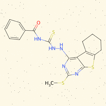 CSc1nc(NNC(=S)NC(=O)c2ccccc2)c2c3c(sc2n1)CCCC3